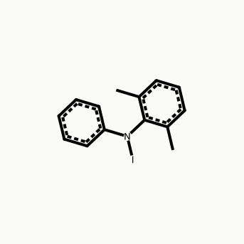 Cc1cccc(C)c1N(I)c1ccccc1